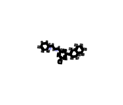 Clc1nc(/C=C/C=C2/C=CC=CC2)nc(-c2ccc3ccccc3c2)n1